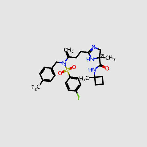 C=C(CCC1=NC[C@](C)(C(=O)NC2(C)CCC2)N1)N(Cc1ccc(C(F)(F)F)cc1)S(=O)(=O)c1ccc(F)cc1